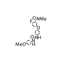 CNC(=O)c1cc(Oc2ccc(NC(=O)Nc3ccc(OC)cc3)cc2)ccc1F